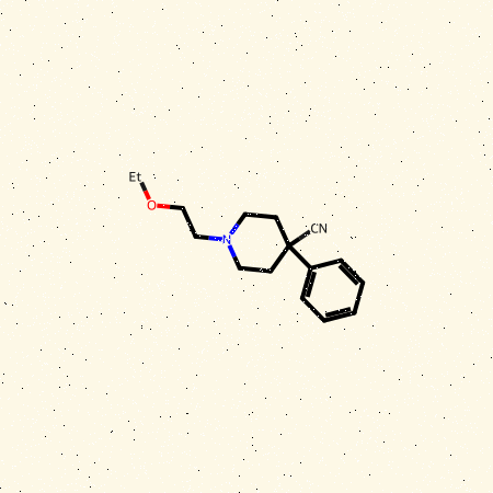 CCOCCN1CCC(C#N)(c2ccccc2)CC1